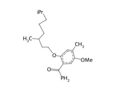 COc1cc(C(=O)P)c(OCCC(C)CCCC(C)C)cc1C